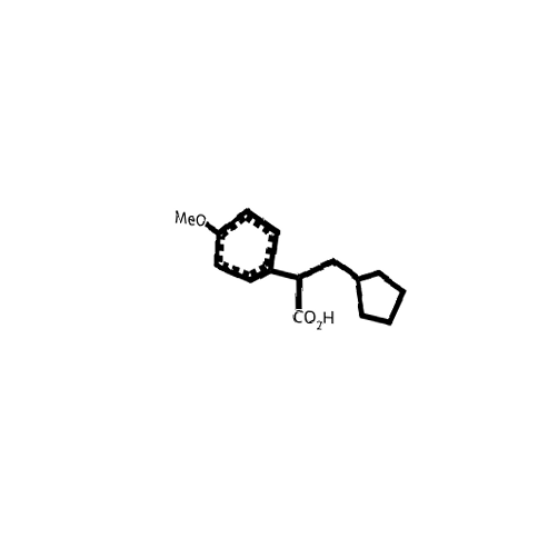 COc1ccc(C(CC2CCCC2)C(=O)O)cc1